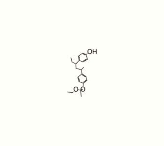 CCOC(C)Oc1ccc(C(C)CC(CC)c2ccc(O)cc2)cc1